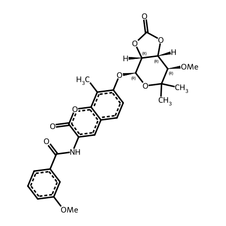 COc1cccc(C(=O)Nc2cc3ccc(O[C@@H]4OC(C)(C)[C@H](OC)[C@H]5OC(=O)O[C@@H]45)c(C)c3oc2=O)c1